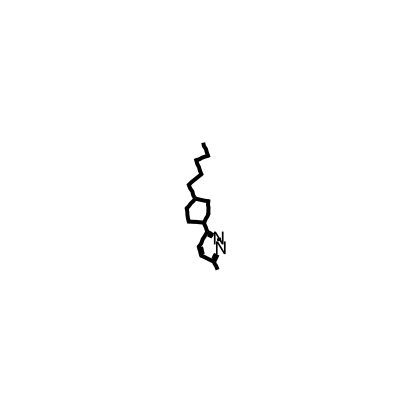 CCCCCC1CCC(c2ccc(C)nn2)CC1